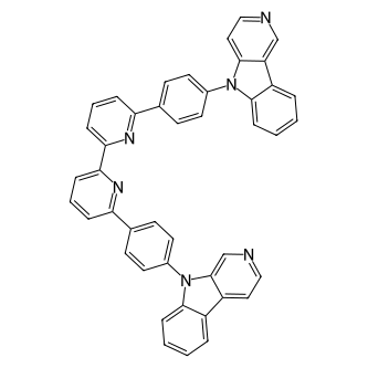 c1cc(-c2ccc(-n3c4ccccc4c4cnccc43)cc2)nc(-c2cccc(-c3ccc(-n4c5ccccc5c5ccncc54)cc3)n2)c1